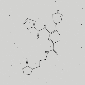 O=C(NCCCN1CCCC1=O)c1ccc(N2CCNCC2)c(NC(=O)c2ccco2)c1